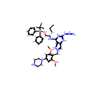 CCC[C@@H](CO[Si](c1ccccc1)(c1ccccc1)C(C)(C)C)Nc1nc(N=[N+]=[N-])nc2cn(Cc3c(OC)cc(N4CCNCC4)cc3OC)nc12